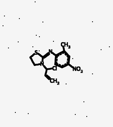 C=CC(Cl)N1CCS/C1=N/c1ccc([N+](=O)[O-])cc1C